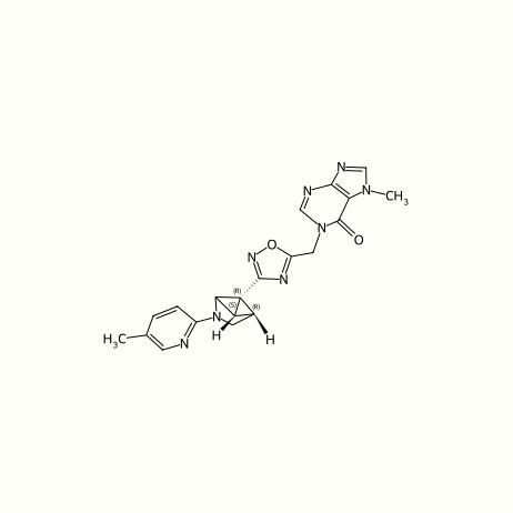 Cc1ccc(N2C[C@@H]3[C@@H]4C2[C@@]34c2noc(Cn3cnc4ncn(C)c4c3=O)n2)nc1